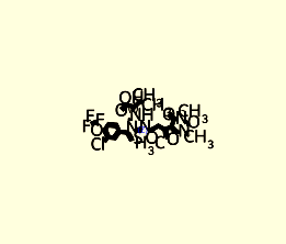 Cc1oc2c(c1CC(=O)/N=c1\scc(-c3ccc(OC(F)(F)F)c(Cl)c3)n1CN[C@H](C(=O)O)C(C)C)c(=O)n(C)c(=O)n2C